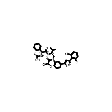 CC(C)[C@@H](CN(C(=O)C(Cl)Cl)c1cccc(-c2cc(-c3c(Cl)cccc3Cl)no2)c1)NC(=O)[C@@H](NC(=O)O)c1ccccc1